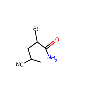 CCC(CC(C)C#N)C(N)=O